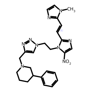 Cn1ccnc1/C=C/c1ncc([N+](=O)[O-])n1CCn1cc(CN2CCCC(c3ccccc3)C2)nn1